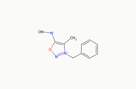 Cc1c([N-]N=O)on[n+]1Cc1ccccc1